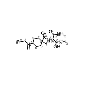 CC(C)CNC1CCC2(CC1)CN([C@H](C(N)=O)[C@@H](C)O)C2=O